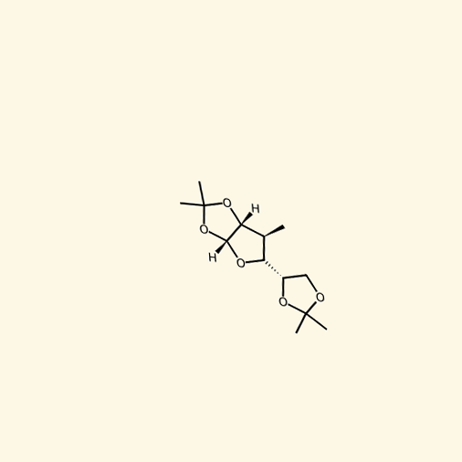 C[C@H]1C([C@@H]2COC(C)(C)O2)O[C@@H]2OC(C)(C)O[C@@H]21